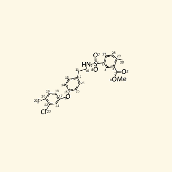 COC(=O)c1cc(S(=O)(=O)NCCc2ccc(Oc3ccc(F)c(Cl)c3)cc2)ccc1C